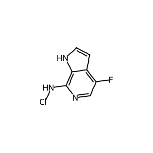 Fc1cnc(NCl)c2[nH]ccc12